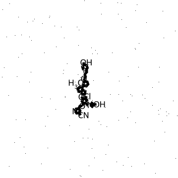 Cc1c(OCCCN2CCC(O)CC2)cccc1-c1cccc2c1CC[C@@H]2Oc1cc(OCc2cncc(C#N)c2)c(CN2CC(O)C2)cc1Cl